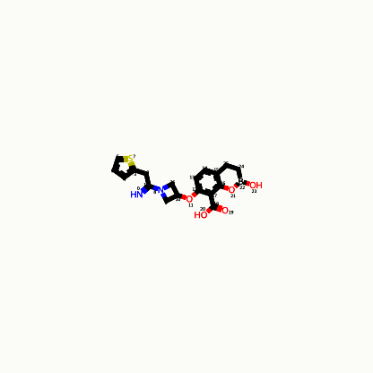 N=C(Cc1cccs1)N1CC(Oc2ccc3c(c2C(=O)O)OB(O)CC3)C1